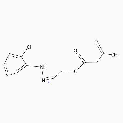 CC(=O)CC(=O)OC/C=N\Nc1ccccc1Cl